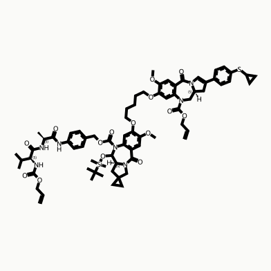 C=CCOC(=O)N[C@H](C(=O)N[C@@H](C)C(=O)Nc1ccc(COC(=O)N2c3cc(OCCCCCOc4cc5c(cc4OC)C(=O)N4C=C(c6ccc(SC7CC7)cc6)C[C@H]4CN5C(=O)OCC=C)c(OC)cc3C(=O)N3CC4(CC4)C[C@H]3C2O[Si](C)(C)C(C)(C)C)cc1)C(C)C